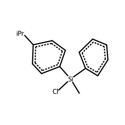 CC(C)c1ccc([Si](C)(Cl)c2ccccc2)cc1